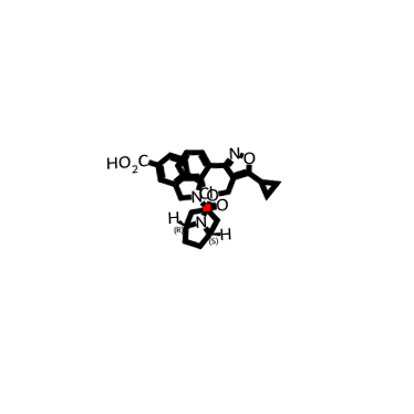 O=C(O)c1ccc2c(c1)CN(C(=O)N1[C@@H]3CC[C@H]1CC(OCc1c(-c4ccccc4Cl)noc1C1CC1)C3)C2